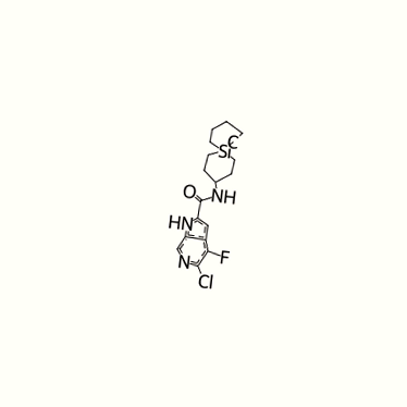 O=C(NC1CC[Si]2(CCCCC2)CC1)c1cc2c(F)c(Cl)ncc2[nH]1